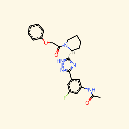 CC(=O)Nc1cc(F)cc(-c2n[nH]c([C@H]3CCCCN3C(=O)COc3ccccc3)n2)c1